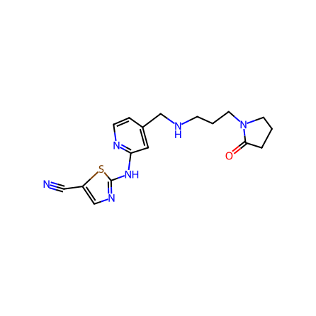 N#Cc1cnc(Nc2cc(CNCCCN3CCCC3=O)ccn2)s1